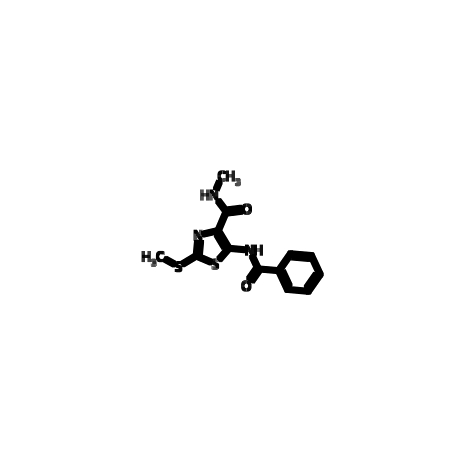 CNC(=O)c1nc(SC)sc1NC(=O)c1ccccc1